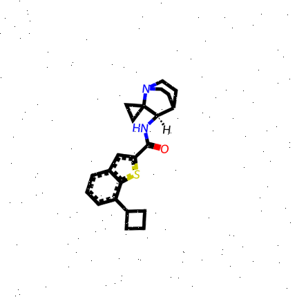 O=C(N[C@@H]1C2CCN(CC2)C12CC2)c1cc2cccc(C3CCC3)c2s1